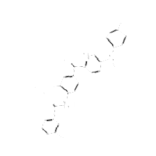 Cc1cccc(C(=O)Nc2ccc(C(=O)c3ccc(N(C)c4ccc(Cl)cc4)cn3)cc2C(=O)O)c1